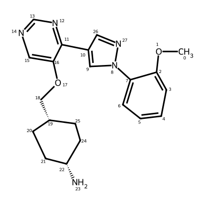 COc1ccccc1-n1cc(-c2ncncc2OC[C@H]2CC[C@@H](N)CC2)cn1